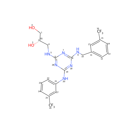 OC[C@@H](O)CNc1nc(NCc2cccc(C(F)(F)F)c2)nc(Nc2cccc(C(F)(F)F)c2)n1